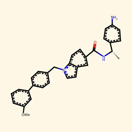 COc1cccc(-c2ccc(Cn3ccc4cc(C(=O)N[C@@H](C)c5ccc(N)cc5)ccc43)cc2)c1